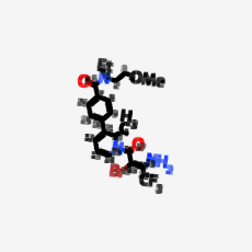 CCN(CCOC)C(=O)c1ccc(C2=CC=CN(C(=O)/C(Br)=C(\N)C(F)(F)F)C2C)cc1